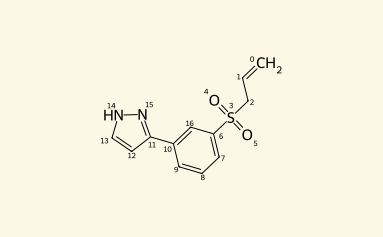 C=CCS(=O)(=O)c1cccc(-c2cc[nH]n2)c1